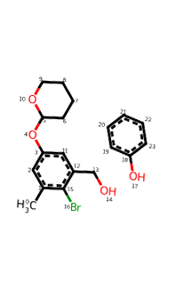 Cc1cc(OC2CCCCO2)cc(CO)c1Br.Oc1ccccc1